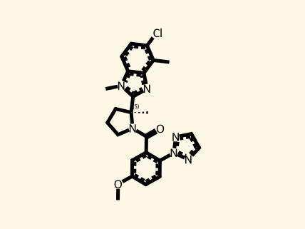 COc1ccc(-n2nccn2)c(C(=O)N2CCC[C@@]2(C)c2nc3c(C)c(Cl)ccc3n2C)c1